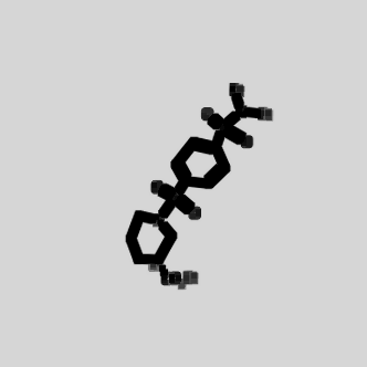 CCOC(=O)[C@@H]1CCCN(S(=O)(=O)c2ccc(S(=O)(=O)N(CC)CC)cc2)C1